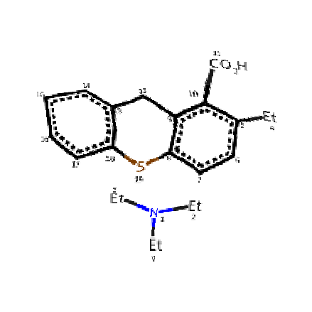 CCN(CC)CC.CCc1ccc2c(c1C(=O)O)Cc1ccccc1S2